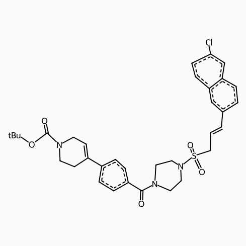 CC(C)(C)OC(=O)N1CC=C(c2ccc(C(=O)N3CCN(S(=O)(=O)CC=Cc4ccc5cc(Cl)ccc5c4)CC3)cc2)CC1